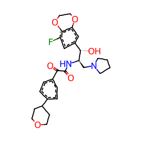 O=C(N[C@H](CN1CCCC1)[C@@H](O)c1cc(F)c2c(c1)OCCO2)C(=O)c1ccc(C2CCOCC2)cc1